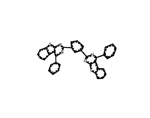 c1ccc(-c2nc(-c3cccc(-c4nc(-c5ccccc5)c5c(n4)sc4ccccc45)c3)nc3sc4ccccc4c23)cc1